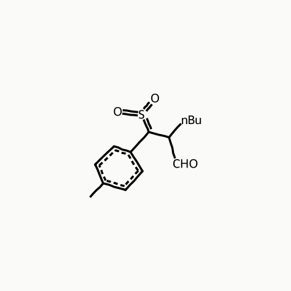 CCCCC(C=O)C(c1ccc(C)cc1)=S(=O)=O